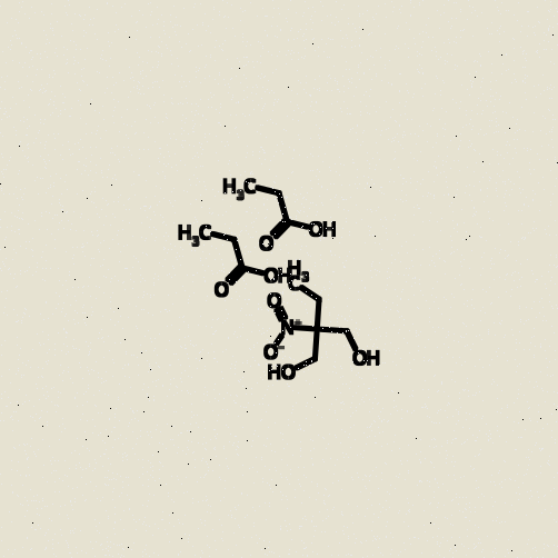 CCC(=O)O.CCC(=O)O.CCC(CO)(CO)[N+](=O)[O-]